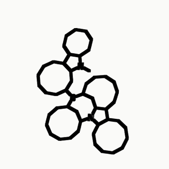 CN1C2CCCCCCC2C2CCCCCCC(B3C4CCCCCCCC(C4)N4C5CCCCCCCCC5C5CCCCCCC3CC54)CC21